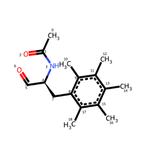 CC(=O)N[C@H]([C]=O)Cc1c(C)c(C)c(C)c(C)c1C